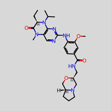 CC[C@@H]1C(=O)N(C)c2cnc(Nc3ccc(C(=O)NC[C@H]4CN5CCC[C@@H]5CO4)cc3OC)nc2N1C(C)C